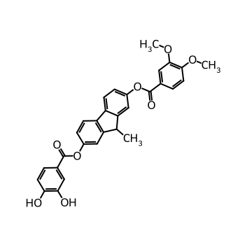 COc1ccc(C(=O)Oc2ccc3c(c2)C(C)c2cc(OC(=O)c4ccc(O)c(O)c4)ccc2-3)cc1OC